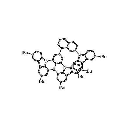 CC(C)(C)c1ccc2c(c1)c1cc(C(C)(C)C)ccc1n2-c1ccc2cccc(-c3cc4c5c(c3)-n3c6ccc(C(C)(C)C)cc6c6cc(C(C)(C)C)cc(c63)B5c3cc(C(C)(C)C)cc5c6cc(C(C)(C)C)ccc6n-4c35)c2c1